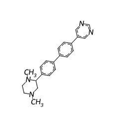 CN1CCN(C)C(c2ccc(-c3ccc(-c4cncnc4)cc3)cc2)C1